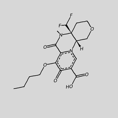 CCCCOc1c2n(cc(C(=O)O)c1=O)[C@H]1COCC[C@@]1(C(F)F)N(C)C2=O